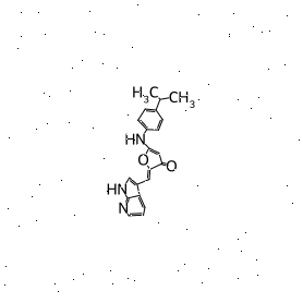 CC(C)c1ccc(NC2=CC(=O)C(=Cc3c[nH]c4ncccc34)O2)cc1